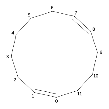 C1=CCCCCCC=CCCC1